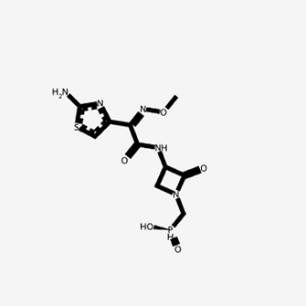 CON=C(C(=O)NC1CN(C[P@@H](=O)O)C1=O)c1csc(N)n1